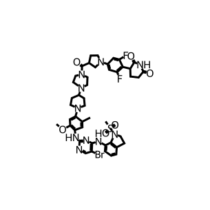 COc1cc(N2CCC(N3CCN(C(=O)C4CCN(c5cc(F)c(C6CCC(=O)NC6=O)c(F)c5)C4)CC3)CC2)c(C)cc1Nc1ncc(Br)c(Nc2cccc3c2N(S(C)(=O)=O)CC3)n1